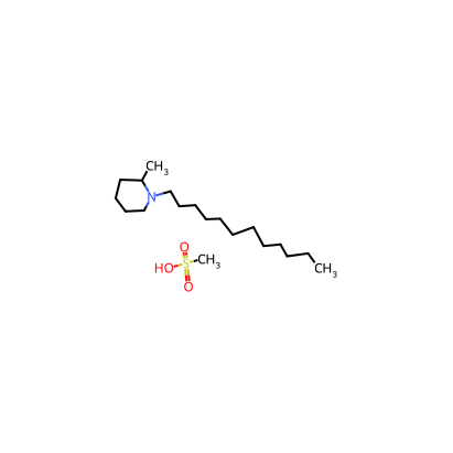 CCCCCCCCCCCCN1CCCCC1C.CS(=O)(=O)O